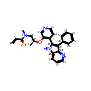 C=CC(=O)N(C)C[C@H](C)Oc1cnccc1-c1[nH]c2cccnc2c1-c1ccccc1